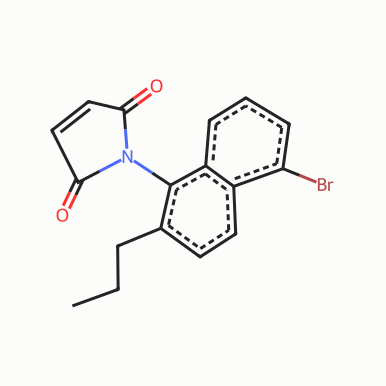 CCCc1ccc2c(Br)cccc2c1N1C(=O)C=CC1=O